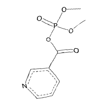 COP(=O)(OC)OC(=O)c1cccnc1